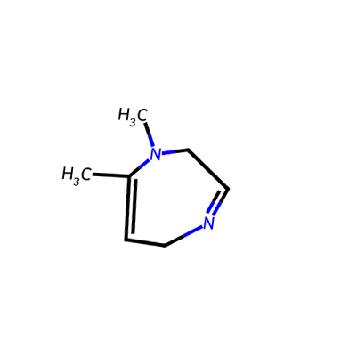 CC1=CCN=CCN1C